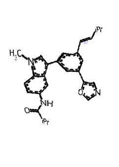 CC(C)/C=C/c1cc(-c2cnco2)cc(-c2cn(C)c3ccc(NC(=O)C(C)C)cc23)c1